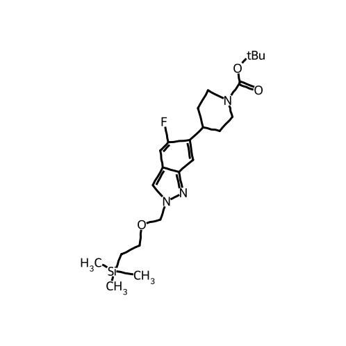 CC(C)(C)OC(=O)N1CCC(c2cc3nn(COCC[Si](C)(C)C)cc3cc2F)CC1